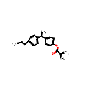 C=C(C)C(=O)Oc1ccc(C(C)c2ccc(CCC)cc2)cc1